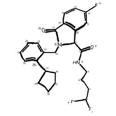 O=C(NCCCC(F)F)C1c2cc(F)ccc2C(=O)N1Cc1ccccc1C1CCCC1